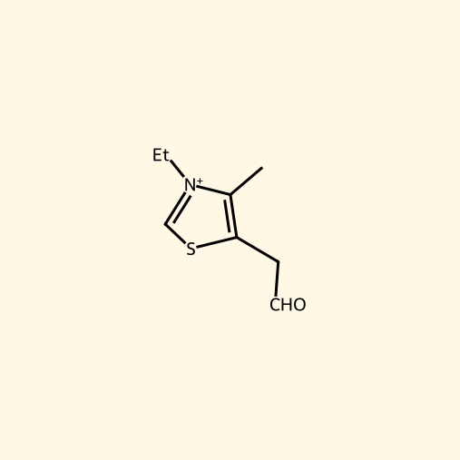 CC[n+]1csc(CC=O)c1C